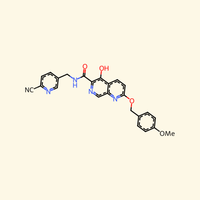 COc1ccc(COc2ccc3c(O)c(C(=O)NCc4ccc(C#N)nc4)ncc3n2)cc1